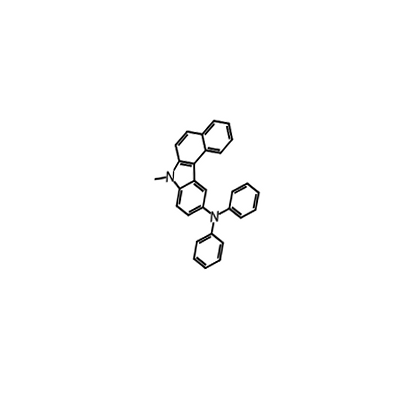 Cn1c2ccc(N(c3ccccc3)c3ccccc3)cc2c2c3ccccc3ccc21